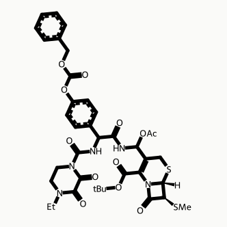 CCN1CCN(C(=O)NC(C(=O)NC(OC(C)=O)C2=C(C(=O)OC(C)(C)C)N3C(=O)[C@H](SC)[C@H]3SC2)c2ccc(OC(=O)OCc3ccccc3)cc2)C(=O)C1=O